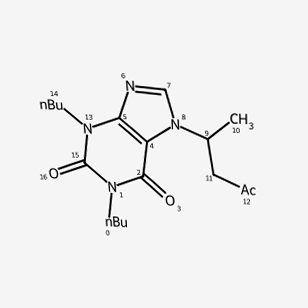 CCCCn1c(=O)c2c(ncn2C(C)CC(C)=O)n(CCCC)c1=O